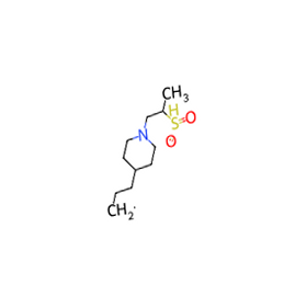 [CH2]CCC1CCN(CC(C)[SH](=O)=O)CC1